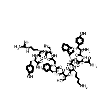 CC(C)C[C@H](NC(=O)CNC(=O)[C@H](Cc1ccccc1)NC(=O)[C@H](CO)NC(=O)[C@H](CCCCN)NC(=O)[C@H](Cc1c[nH]c2ccccc12)NC(=O)[C@H](CC(N)=O)NC(=O)[C@@H](N)Cc1ccc(O)cc1)C(=O)N[C@@H](CCCNC(=N)N)C(=O)N[C@@H](Cc1ccc(O)cc1)C(N)=O